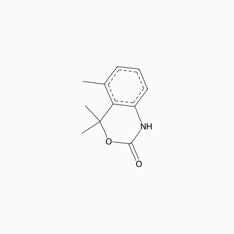 Cc1cccc2c1C(C)(C)OC(=O)N2